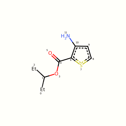 CCC(CC)OC(=O)c1sccc1N